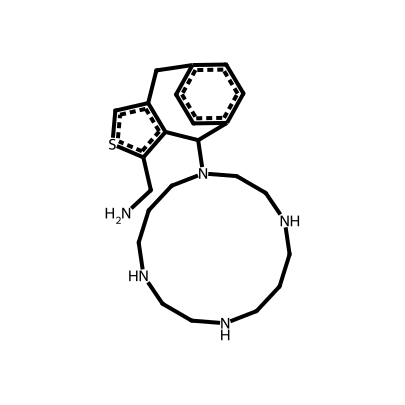 NCc1scc2c1C(N1CCCNCCNCCCNCC1)c1ccc(cc1)C2